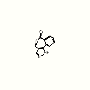 O=c1ncc2c(c3ccccc13)NCN=C2